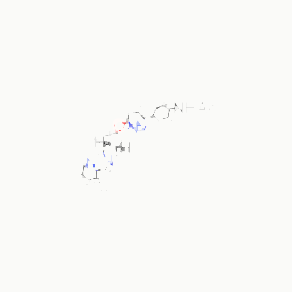 CC(=O)Nc1ccc(-c2ccc(OC3C[C@@H]4CN(Cc5ncccc5C)C[C@@H]4C3)nn2)cc1